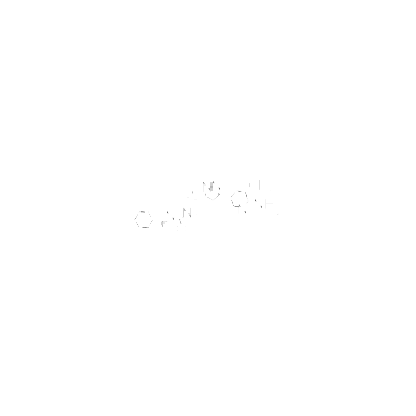 Nc1ncc(-c2cc3n(n2)CCOC32CCN(C(=O)N[C@@H]3CCc4ccccc43)C2)cc1C(F)(F)F